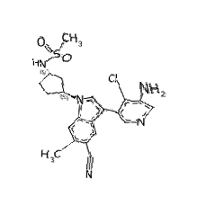 Cc1cc2c(cc1C#N)c(-c1cncc(N)c1Cl)cn2[C@H]1CC[C@H](NS(C)(=O)=O)C1